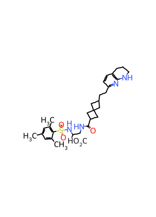 Cc1cc(C)c(S(=O)(=O)NC(CNC(=O)C2CC3(CC(CCc4ccc5c(n4)NCCC5)C3)C2)C(=O)O)c(C)c1